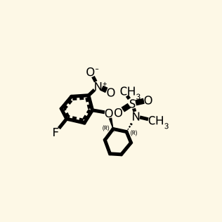 CN([C@@H]1CCCC[C@H]1Oc1cc(F)ccc1[N+](=O)[O-])S(C)(=O)=O